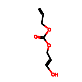 C=CCOC(=O)OCC=CO